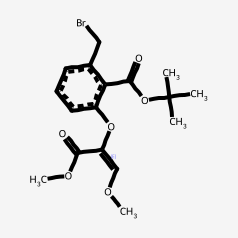 CO/C=C(/Oc1cccc(CBr)c1C(=O)OC(C)(C)C)C(=O)OC